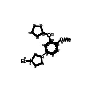 CCN1CC[C@@H](c2ccc(OC)c(OC3CCCC3)c2)C1